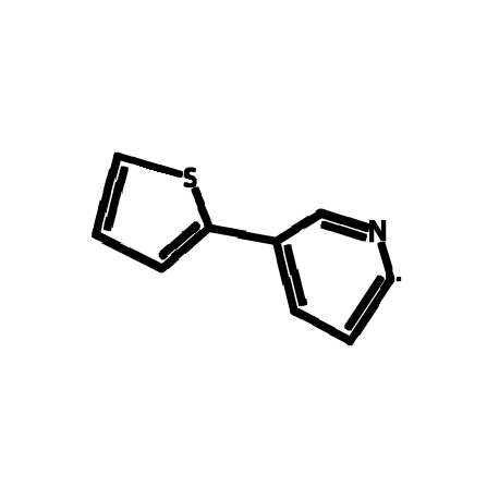 [c]1ccc(-c2cccs2)cn1